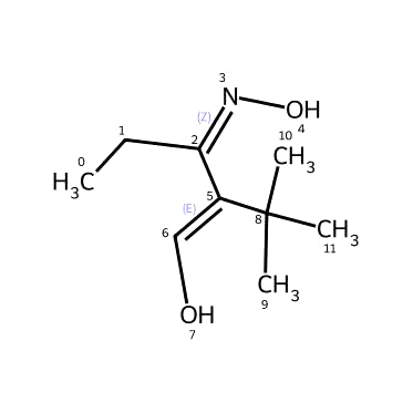 CCC(=N/O)/C(=C/O)C(C)(C)C